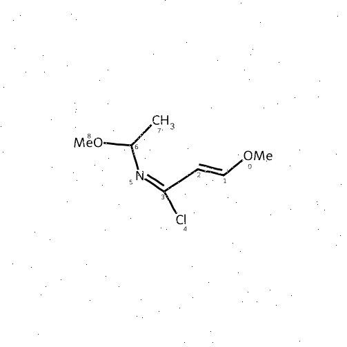 CO/C=C/C(Cl)=N\C(C)OC